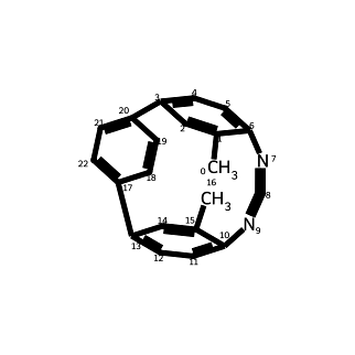 Cc1cc2ccc1N=C=Nc1ccc(cc1C)-c1ccc-2cc1